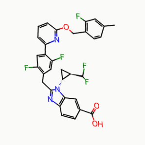 Cc1ccc(COc2cccc(-c3cc(F)c(Cc4nc5ccc(C(=O)O)cc5n4[C@@H]4C[C@H]4C(F)F)cc3F)n2)c(F)c1